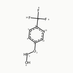 OBOc1ccc(C(F)(F)F)nc1